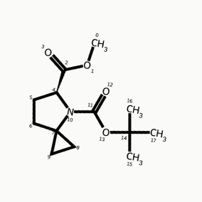 COC(=O)[C@@H]1CCC2(CC2)N1C(=O)OC(C)(C)C